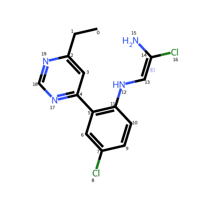 CCc1cc(-c2cc(Cl)ccc2N/C=C(\N)Cl)ncn1